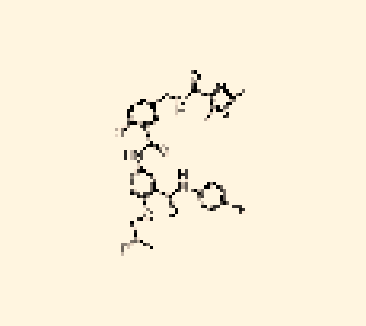 Cc1nc(C(=O)NCc2ccc(Cl)c(C(=O)Nc3ccc(OCC(F)F)c(C(=O)Nc4ccc(Br)cc4)c3)c2)c(C)s1